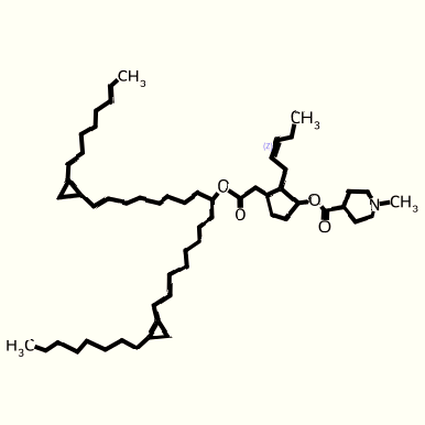 CC/C=C\CC1C(CC(=O)OC(CCCCCCCCC2CC2CCCCCCCC)CCCCCCCCC2CC2CCCCCCCC)CCC1OC(=O)C1CCN(C)CC1